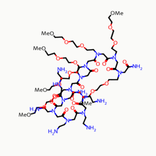 COCCOCCOCCN(CC(N)=O)C(=O)CN(CCOCCOCCOC)C(=O)CN(CCOCCOCCOC)C(=O)CN(CCOCCOCCOC)C(=O)CN(CCOCCOCCOC)C(=O)CN(CCOCCOCCOC)C(=O)CN(CCN)C(=O)CN(CCN)C(=O)CN(CCN)C(=O)CN(CCN)C(=O)CN(CCN)C(=O)CNCCN